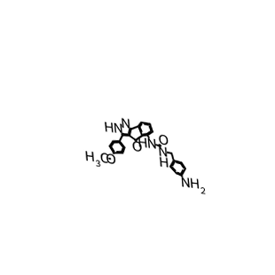 COc1ccc(-c2[nH]nc3c2C(=O)c2c(NC(=O)NCc4ccc(N)cc4)cccc2-3)cc1